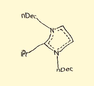 CCCCCCCCCCn1cc[n+](CCCCCCCCCC)c1C(C)C